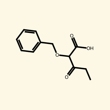 CCC(=O)C(OCc1ccccc1)C(=O)O